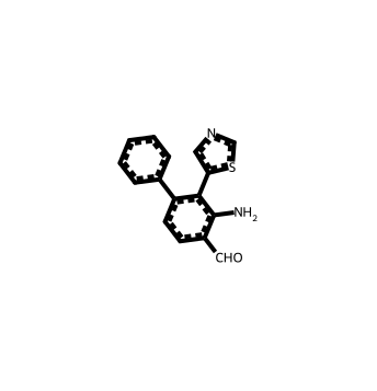 Nc1c(C=O)ccc(-c2ccccc2)c1-c1cncs1